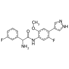 COc1cc(-c2cn[nH]c2)c(F)cc1NC(=O)C(N)c1cccc(F)c1